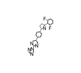 Fc1cccc(F)c1C1=NC(c2ccc(-c3cnc(-n4cncn4)nc3)cc2)CC1